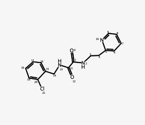 O=C(NCCc1ccccn1)C(=O)NCc1ccccc1Cl